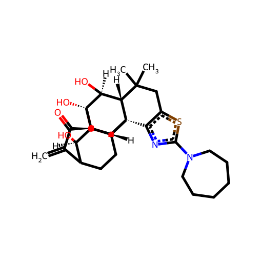 C=C1C(=O)[C@]23[C@H](O)C1CC[C@H]2[C@@]12CO[C@@]3(O)[C@@H](O)[C@@H]1C(C)(C)Cc1sc(N3CCCCCC3)nc12